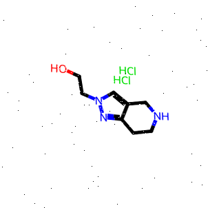 Cl.Cl.OCCn1cc2c(n1)CCNC2